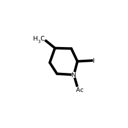 CC(=O)N1CCC(C)CC1I